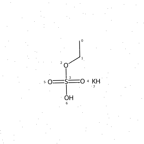 CCOS(=O)(=O)O.[KH]